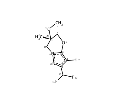 CO[C@]1(C)COc2c(I)c(C(F)F)nn2C1